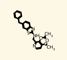 COc1ccnc(CNc2nc3ccc(Cc4ccccc4)cc3s2)c1OC(C)=O